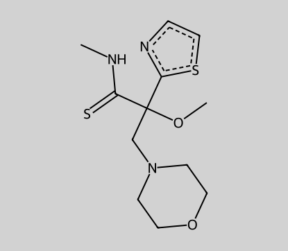 CNC(=S)C(CN1CCOCC1)(OC)c1nccs1